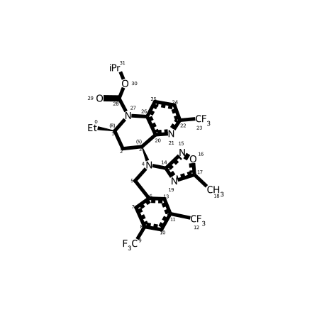 CC[C@@H]1C[C@H](N(Cc2cc(C(F)(F)F)cc(C(F)(F)F)c2)c2noc(C)n2)c2nc(C(F)(F)F)ccc2N1C(=O)OC(C)C